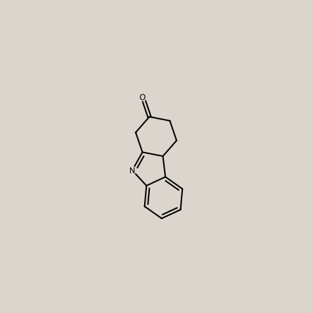 O=C1CCC2C(=Nc3ccccc32)C1